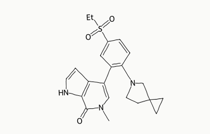 CCS(=O)(=O)c1ccc(N2CCC3(CC3)C2)c(-c2cn(C)c(=O)c3[nH]ccc23)c1